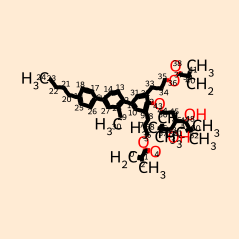 C=C(C)C(=O)OCCCc1cc(-c2ccc(-c3ccc(CCCCC)cc3)cc2CC)cc(CCCOC(=O)C(=C)C)c1OCCC(C(O)C(C)(C)C)C(O)C(C)(C)C